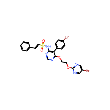 O=S(=O)(C=Cc1ccccc1)Nc1ncnc(OCCOc2ncc(Br)cn2)c1-c1ccc(Br)cc1